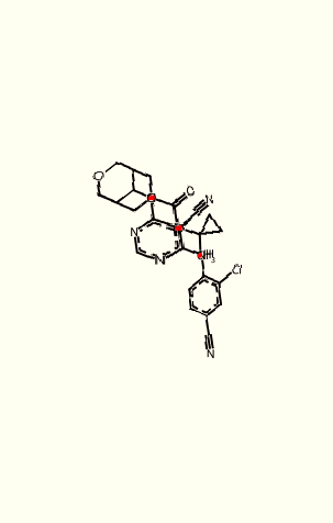 CC1(OC(=O)N2CC3COCC(C2)C3Oc2ncnc(Nc3ccc(C#N)cc3Cl)c2C#N)CC1